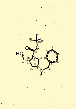 CN(Cc1ccccc1)[C@@H]1C[C@H](CO)N(C(=O)OC(C)(C)C)C1